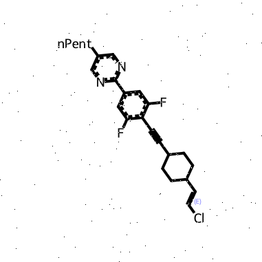 CCCCCc1cnc(-c2cc(F)c(C#CC3CCC(/C=C/Cl)CC3)c(F)c2)nc1